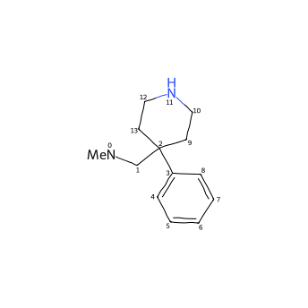 CNCC1(c2ccccc2)CCNCC1